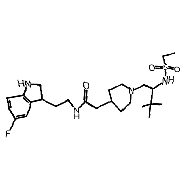 CCS(=O)(=O)NC(CN1CCC(CC(=O)NCCC2CNc3ccc(F)cc32)CC1)C(C)(C)C